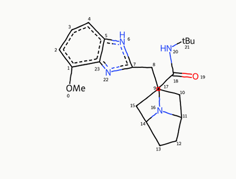 COc1cccc2[nH]c(CC3CC4CCC(C3)N4CC(=O)NC(C)(C)C)nc12